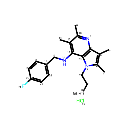 COCCn1c(C)c(C)c2nc(C)c(C)c(NCc3ccc(F)cc3)c21.Cl